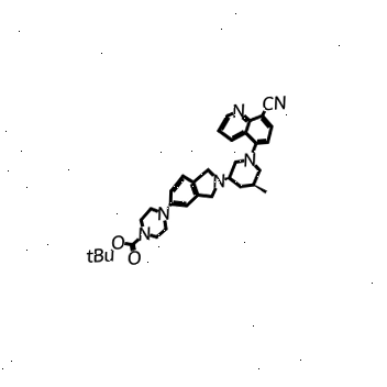 C[C@H]1C[C@@H](N2Cc3ccc(N4CCN(C(=O)OC(C)(C)C)CC4)cc3C2)CN(c2ccc(C#N)c3ncccc23)C1